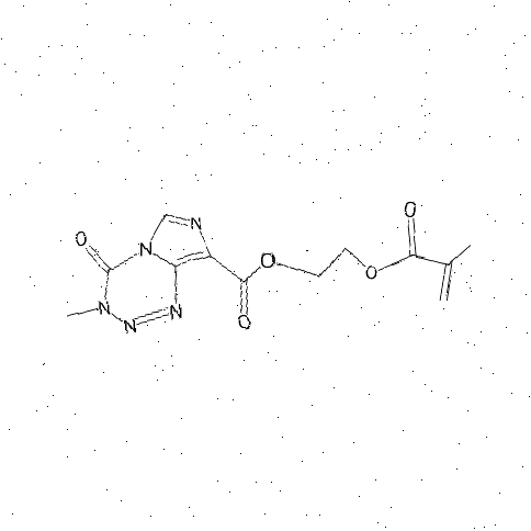 C=C(C)C(=O)OCCOC(=O)c1ncn2c(=O)n(C)nnc12